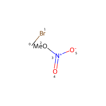 CBr.CO[N+](=O)[O-]